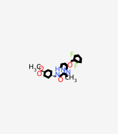 COC(=O)[C@H]1CC[C@H](CNC(=O)c2c(C)nc3c(OCc4c(F)cccc4F)cccn23)CC1